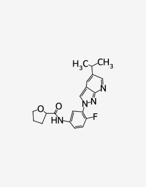 CC(C)c1cnc2nn(-c3cc(NC(=O)C4CCCO4)ccc3F)cc2c1